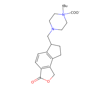 CC(C)(C)[N+]1(C(=O)[O-])CCN(CC2CCc3c2ccc2c3COC2=O)CC1